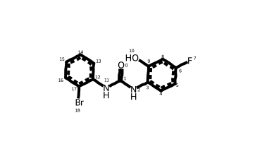 O=C(Nc1ccc(F)cc1O)Nc1ccccc1Br